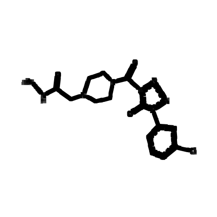 CCCCNC(=O)CN1CCN(C(=O)n2nnn(-c3cccc(Cl)c3)c2=O)CC1